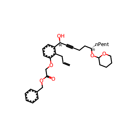 C=CCc1c(OCC(=O)OCc2ccccc2)cccc1[C@@H](O)C#CCC[C@H](CCCCC)OC1CCCCO1